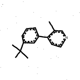 Cc1cnccc1-c1cccc(C(C)(C)C)c1